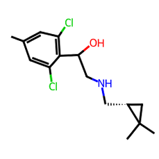 Cc1cc(Cl)c(C(O)CNC[C@@H]2CC2(C)C)c(Cl)c1